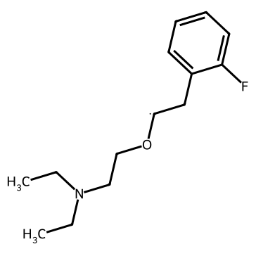 CCN(CC)CCO[CH]Cc1ccccc1F